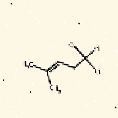 CC(C)=C[CH]C(Cl)(Cl)Cl